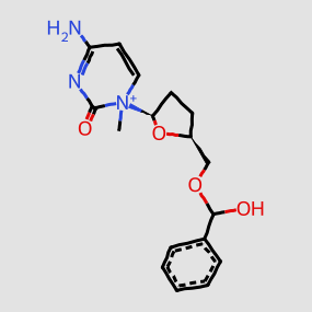 C[N+]1([C@H]2CC[C@@H](COC(O)c3ccccc3)O2)C=CC(N)=NC1=O